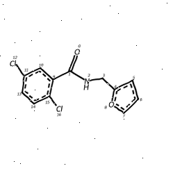 O=C(NCc1ccco1)c1cc(Cl)ccc1Cl